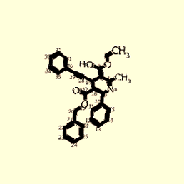 CCO/C(O)=C1\C(C)=NC(c2ccccc2)=C(C(=O)OCc2ccccc2)C1C#Cc1ccccc1